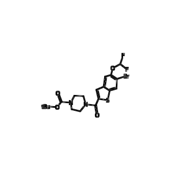 CC(C)(C)OC(=O)N1CCN(C(=O)c2cc3cc(OC(F)F)c(Br)cc3s2)CC1